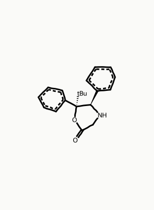 CC(C)(C)[C@@]1(c2ccccc2)OC(=O)CN[C@@H]1c1ccccc1